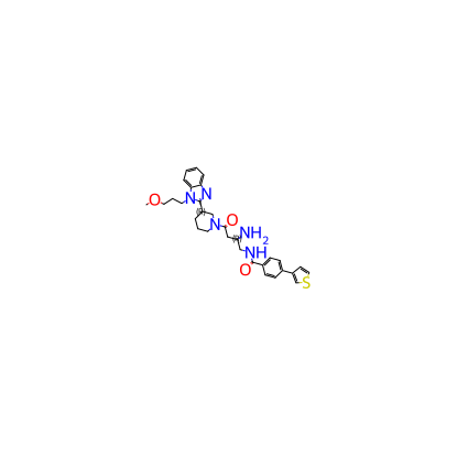 COCCCn1c([C@@H]2CCCN(C(=O)C[C@@H](N)CNC(=O)c3ccc(-c4ccsc4)cc3)C2)nc2ccccc21